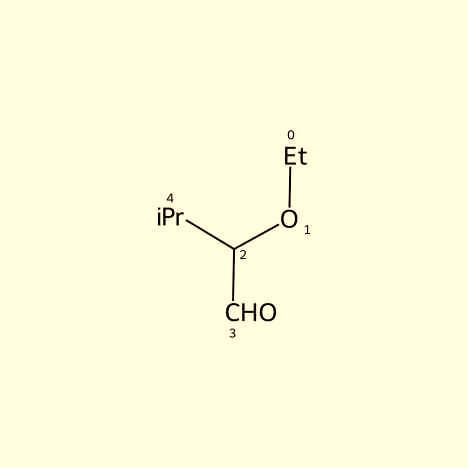 CCOC(C=O)C(C)C